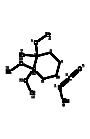 CCC(C)N=C=O.CCOC1(CC)CCCC[Si]1(OCC)OCC